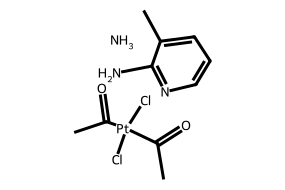 C[C](=O)[Pt]([Cl])([Cl])[C](C)=O.Cc1cccnc1N.N